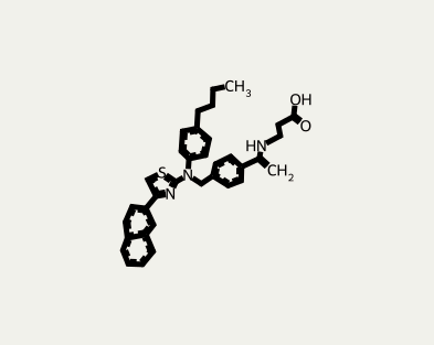 C=C(NCCC(=O)O)c1ccc(CN(c2ccc(CCCC)cc2)c2nc(-c3ccc4ccccc4c3)cs2)cc1